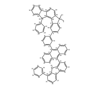 CC1(C)c2ccc(-c3cccc(-c4c5ccccc5c(-c5cccc6c5oc5c(-c7ccccc7)cccc56)c5ccccc45)c3)cc2-c2c1ccc1c3ccccc3n(-c3ccccc3)c21